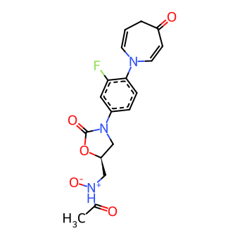 CC(=O)[NH+]([O-])C[C@@H]1CN(c2ccc(N3C=CCC(=O)C=C3)c(F)c2)C(=O)O1